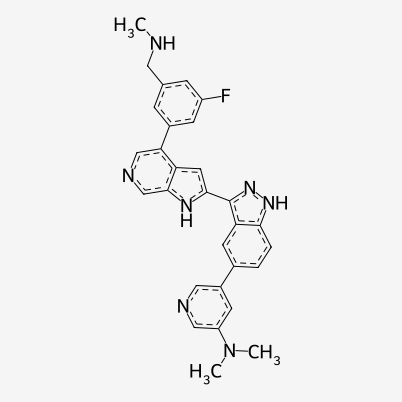 CNCc1cc(F)cc(-c2cncc3[nH]c(-c4n[nH]c5ccc(-c6cncc(N(C)C)c6)cc45)cc23)c1